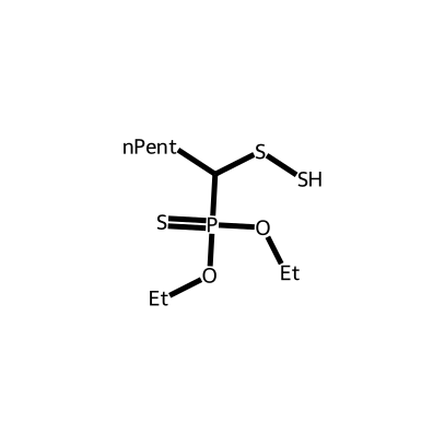 CCCCCC(SS)P(=S)(OCC)OCC